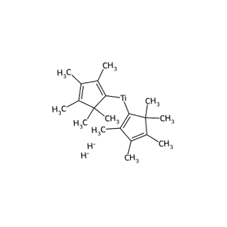 CC1=C(C)C(C)(C)[C]([Ti][C]2=C(C)C(C)=C(C)C2(C)C)=C1C.[H-].[H-]